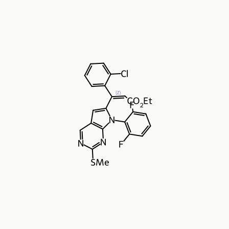 CCOC(=O)/C=C(/c1ccccc1Cl)c1cc2cnc(SC)nc2n1-c1c(F)cccc1F